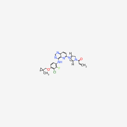 C=CC(=O)N1C[C@@H]2C[C@H]1CN2c1ccc2ncnc(Nc3ccc(OCC4(C)CC4)c(Cl)c3F)c2n1